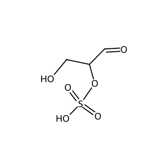 O=CC(CO)OS(=O)(=O)O